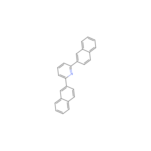 c1cc(-c2ccc3ccccc3c2)nc(-c2ccc3ccccc3c2)c1